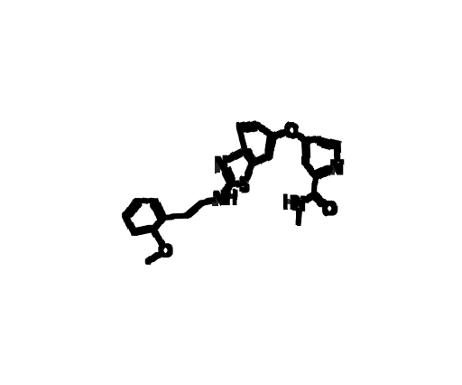 CNC(=O)c1cc(Oc2ccc3nc(NCCc4ccccc4OC)sc3c2)ccn1